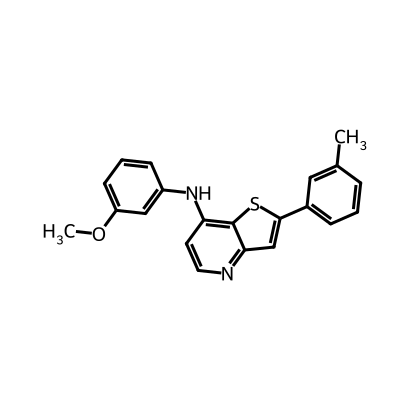 COc1cccc(Nc2ccnc3cc(-c4cccc(C)c4)sc23)c1